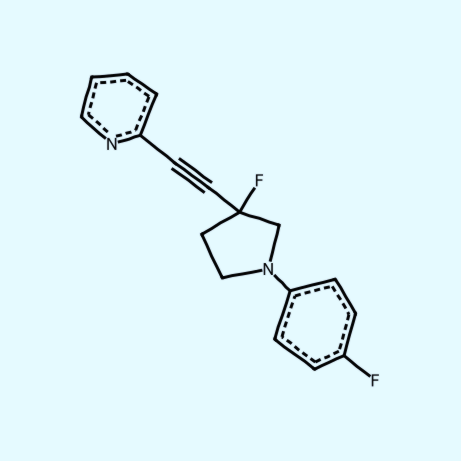 Fc1ccc(N2CCC(F)(C#Cc3ccccn3)C2)cc1